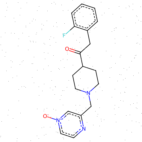 O=C(Cc1ccccc1F)C1CCN(Cc2c[n+]([O-])ccn2)CC1